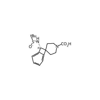 CC(C)(C)[S+]([O-])N[C@H]1c2ccccc2C12CCN(C(=O)O)CC2